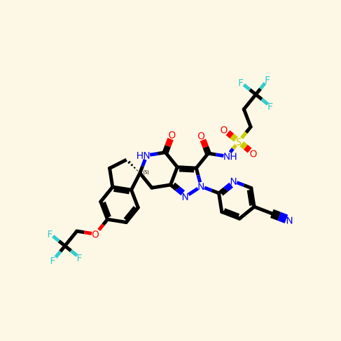 N#Cc1ccc(-n2nc3c(c2C(=O)NS(=O)(=O)CCC(F)(F)F)C(=O)N[C@@]2(CCc4cc(OCC(F)(F)F)ccc42)C3)nc1